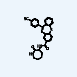 N#Cc1ccc(C2=Nc3cc(C(=O)NC4CCCCNC4=O)ccc3Sc3ccccc32)cc1